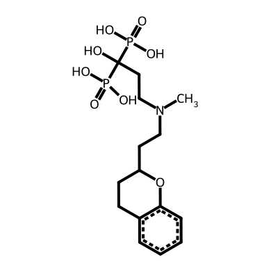 CN(CCC1CCc2ccccc2O1)CCC(O)(P(=O)(O)O)P(=O)(O)O